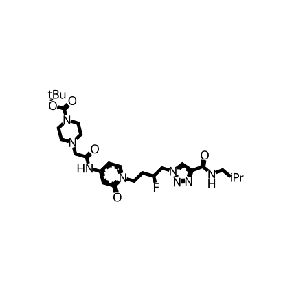 CC(C)CNC(=O)c1cn(CC(F)CCn2ccc(NC(=O)CN3CCN(C(=O)OC(C)(C)C)CC3)cc2=O)nn1